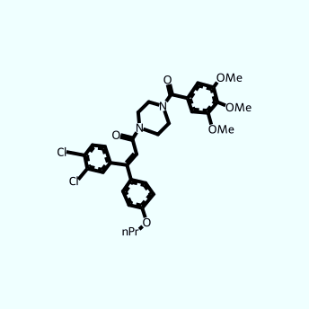 CCCOc1ccc(C(=CC(=O)N2CCN(C(=O)c3cc(OC)c(OC)c(OC)c3)CC2)c2ccc(Cl)c(Cl)c2)cc1